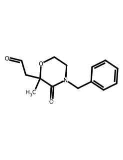 CC1(CC=O)OCCN(Cc2ccccc2)C1=O